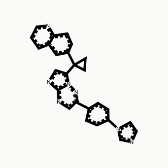 c1cnc2ccc(C3(c4cnc5ncc(-c6ccc(-n7ccnc7)cc6)nn45)CC3)cc2c1